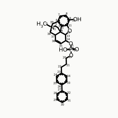 CN1CCC23c4c5ccc(O)c4OC2C(OP(=O)(O)OCCCc2ccc(-c4ccccc4)cc2)C=CC3C1C5